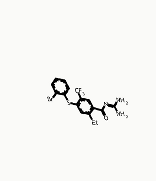 CCc1cc(Sc2ccccc2Br)c(C(F)(F)F)cc1C(=O)N=C(N)N